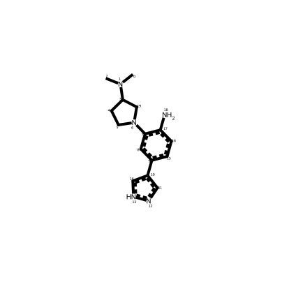 CN(C)C1CCN(c2cc(-c3cn[nH]c3)ccc2N)C1